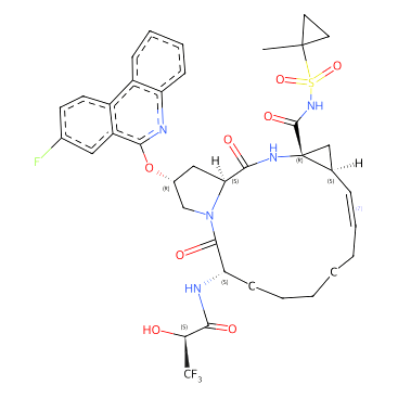 CC1(S(=O)(=O)NC(=O)[C@@]23C[C@H]2/C=C\CCCCC[C@H](NC(=O)[C@H](O)C(F)(F)F)C(=O)N2C[C@H](Oc4nc5ccccc5c5ccc(F)cc45)C[C@H]2C(=O)N3)CC1